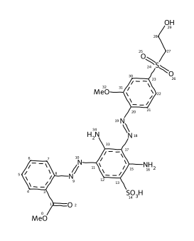 COC(=O)c1ccccc1/N=N/c1cc(S(=O)(=O)O)c(N)c(/N=N/c2ccc(S(=O)(=O)CCO)cc2OC)c1N